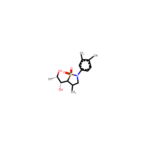 CC[C@H](O)[C@@H](O)C1C(C)CN(c2ccc(C#N)c(C(F)(F)F)c2)S1(=O)=O